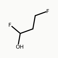 OC(F)CCF